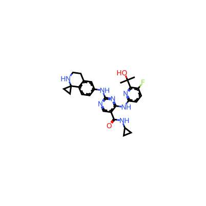 CC(C)(O)c1nc(Nc2nc(Nc3ccc4c(c3)CCNC43CC3)ncc2C(=O)NC2CC2)ccc1F